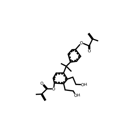 C=C(C)C(=O)Oc1ccc(C(C)(C)c2ccc(OC(=O)C(=C)C)c(CCO)c2CCO)cc1